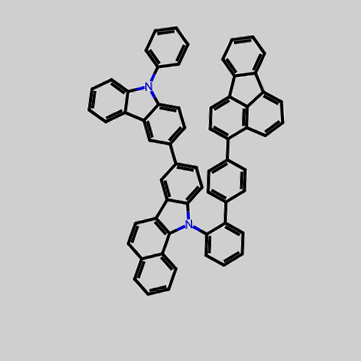 c1ccc(-n2c3ccccc3c3cc(-c4ccc5c(c4)c4ccc6ccccc6c4n5-c4ccccc4-c4ccc(-c5ccc6c7c(cccc57)-c5ccccc5-6)cc4)ccc32)cc1